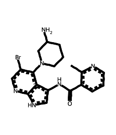 Cc1ncccc1C(=O)Nc1c[nH]c2ncc(Br)c(N3CCCC(N)C3)c12